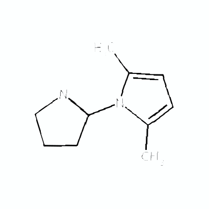 Cc1ccc(C)n1C1CCC[N]1